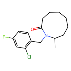 CC1CCCCCCC(=O)N1Cc1ccc(F)cc1Cl